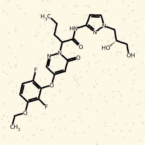 CCCC(C(=O)Nc1ccn(C[C@@H](O)CO)n1)n1ncc(Oc2c(F)ccc(OCC)c2F)cc1=O